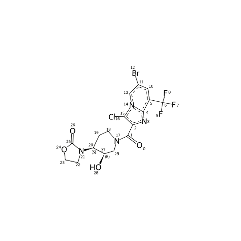 O=C(c1nc2c(C(F)(F)F)cc(Br)cn2c1Cl)N1CC[C@H](N2CCOC2=O)[C@H](O)C1